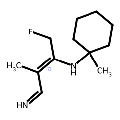 C/C(C=N)=C(\CF)NC1(C)CCCCC1